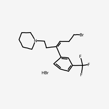 Br.FC(F)(F)c1cccc(/C(=C\CCBr)CCN2CCCCC2)c1